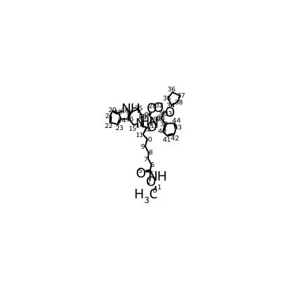 CCONC(=O)CCCCCCC(=O)N1Cc2c([nH]c3ccccc23)C[C@@H]1C(=O)N[C@H](C(=O)OC1CCCC1)c1ccccc1